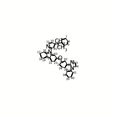 CC(C)(c1ccccc1)c1ccnc(-n2c3ccccc3c3ccc(Oc4cccc(-c5nccn5-c5ccccc5)c4)cc32)c1